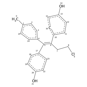 Cc1ccc(C(=C(CCCl)c2ccc(O)cc2)c2ccc(O)cc2)cc1